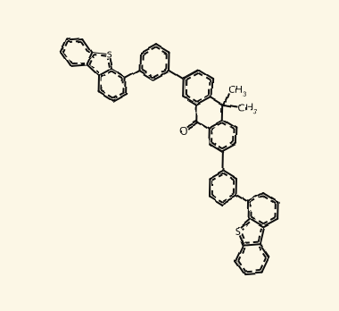 CC1(C)c2ccc(-c3cccc(-c4cccc5c4sc4ccccc45)c3)cc2C(=O)c2cc(-c3cccc(-c4cccc5c4sc4ccccc45)c3)ccc21